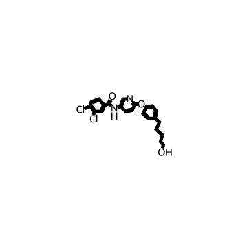 O=C(Nc1ccc(Oc2ccc(CCCCCO)cc2)nc1)c1ccc(Cl)c(Cl)c1